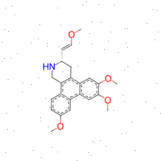 COC=C[C@@H]1Cc2c(c3ccc(OC)cc3c3cc(OC)c(OC)cc23)CN1